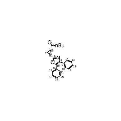 CCCCC(=O)[C@H]1C[C@H]1c1nc(-c2ccccc2)c(-c2ccccc2)o1